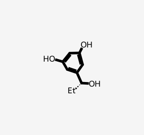 CC[C@@H](O)c1cc(O)cc(O)c1